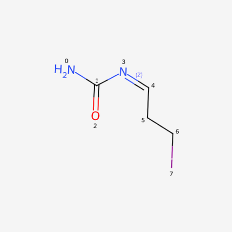 NC(=O)/N=C\CCI